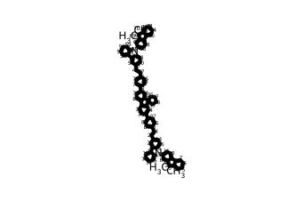 CC1(C)c2ccccc2-c2ccc(-n3c4ccccc4c4cc(/C=C/c5ccc(-c6ccc7c(c6)C6(CCCC6)c6cc(-c8ccc(/C=C/c9ccc%10c(c9)c9ccccc9n%10-c9ccc%10c(c9)C(C)(C)c9ccccc9-%10)cc8)ccc6-7)cc5)ccc43)cc21